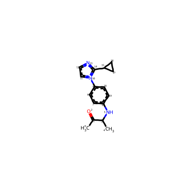 CC(=O)C(C)Nc1ccc(-n2ccnc2C2CC2)cc1